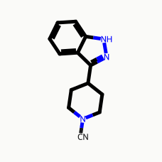 N#CN1CCC(c2n[nH]c3ccccc23)CC1